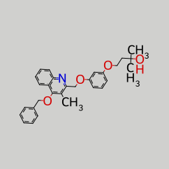 Cc1c(COc2cccc(OCCC(C)(C)O)c2)nc2ccccc2c1OCc1ccccc1